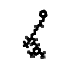 CC(C)(C)OC(=O)C(CCCCNC(=O)OCc1ccccc1)NC(=O)Nc1cc(C(=O)O)cc(C(=O)O)c1